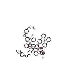 C=Cc1ccc(Oc2ccc(C3(c4cccc(F)c4F)c4ccccc4-c4ccc(N(c5ccc(F)cc5)c5ccc6c(c5)C5(c7ccccc7-6)c6ccccc6-c6ccc(N(c7ccc(F)cc7)c7ccc8c(c7)C(c7ccc(Oc9ccc(C=C)cc9)cc7)(c7cccc(F)c7F)c7ccccc7-8)cc65)cc43)cc2)cc1